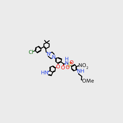 COCCCNc1ccc(S(=O)(=O)NC(=O)c2ccc(N3CCN(CC4=C(c5ccc(Cl)cc5)CC(C)(C)CC4)CC3)cc2Oc2ccc3[nH]ccc3c2)cc1[N+](=O)[O-]